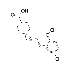 COc1ccc(Cl)cc1SC[C@@H]1CC12CCN(C(=O)O)CC2